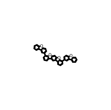 c1ccc2c(c1)oc1ccc(-c3cccc4c3oc3cc5oc6c(-c7ccc8oc9ccccc9c8c7)cccc6c5cc34)cc12